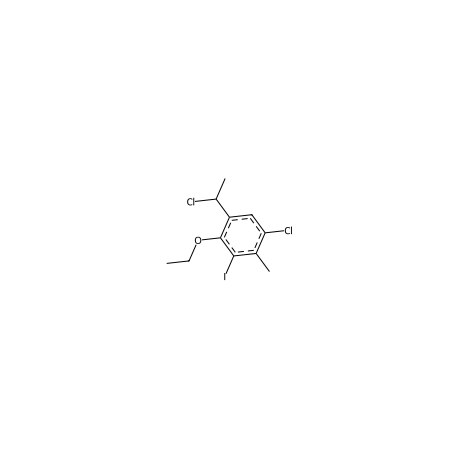 CCOc1c(C(C)Cl)cc(Cl)c(C)c1I